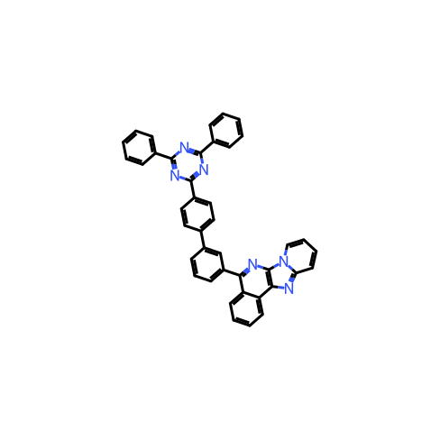 c1ccc(-c2nc(-c3ccccc3)nc(-c3ccc(-c4cccc(-c5nc6c(nc7ccccn76)c6ccccc56)c4)cc3)n2)cc1